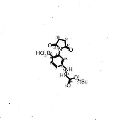 CC(C)(C)OC(=O)NNc1ccc(C(=O)O)c(N2C(=O)CCC2=O)c1